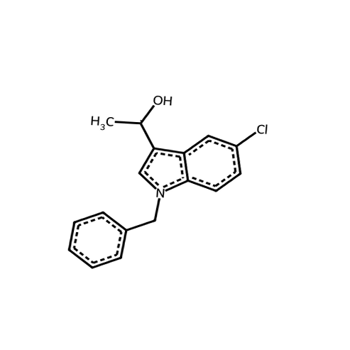 C[C](O)c1cn(Cc2ccccc2)c2ccc(Cl)cc12